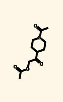 CC(=O)OCC(=O)C1CCN(C(C)=O)CC1